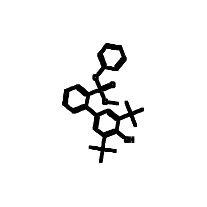 COP(=O)(Oc1ccccc1)c1ccccc1-c1cc(C(C)(C)C)c(O)c(C(C)(C)C)c1